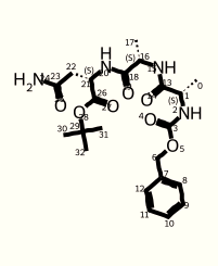 C[C@H](NC(=O)OCc1ccccc1)C(=O)N[C@@H](C)C(=O)N[C@@H](CC(N)=O)C(=O)OC(C)(C)C